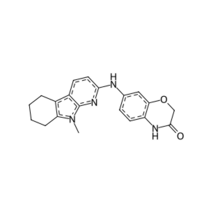 Cn1c2c(c3ccc(Nc4ccc5c(c4)OCC(=O)N5)nc31)CCCC2